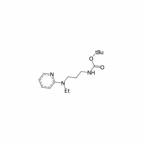 CCN(CCCNC(=O)OC(C)(C)C)c1ccccn1